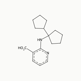 O=C(O)c1cccnc1NC1(C2CCCC2)CCCC1